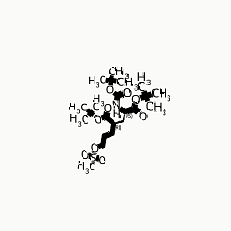 CC(C)(C)OC(=O)N[C@@H](C[C@@H](CCCOS(C)(=O)=O)C(=O)OC(C)(C)C)C(=O)OC(C)(C)C